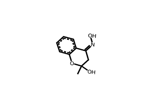 CC1(O)C/C(=N/O)c2ccccc2O1